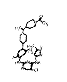 C=C(C1CCN(C(C)=O)CC1)N1CCC(c2cc(F)c(Nc3ncc(Cl)c(Nc4cc(C)[nH]n4)n3)cc2C)CC1